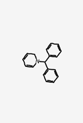 C1=CCN(C(c2ccccc2)c2ccccc2)C=C1